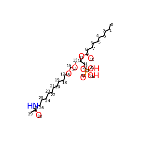 CCCCCCCCCC(=O)O[C@@H](COCOCCCCCCCCCCNC(C)=O)COP(=O)(O)O